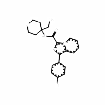 O=C(NC1(CO)CCOCC1)c1nc(-c2ccc(Cl)cc2)c2ccccn12